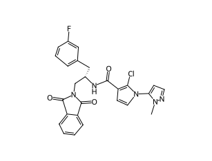 Cn1nccc1-n1ccc(C(=O)N[C@@H](Cc2cccc(F)c2)CN2C(=O)c3ccccc3C2=O)c1Cl